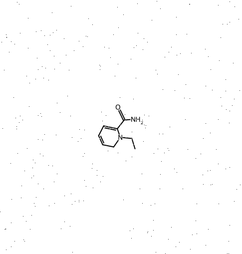 CCN1CC=CC=C1C(N)=O